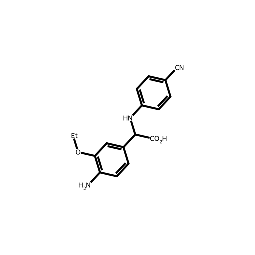 CCOc1cc(C(Nc2ccc(C#N)cc2)C(=O)O)ccc1N